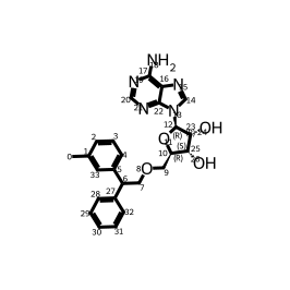 Cc1cccc(C(COC[C@H]2O[C@@H](n3cnc4c(N)ncnc43)[C@H](O)[C@@H]2O)c2ccccc2)c1